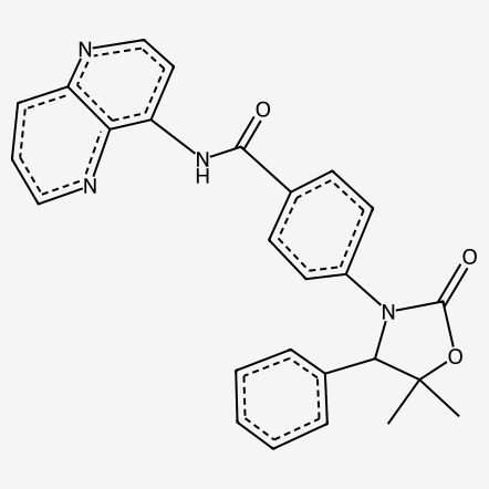 CC1(C)OC(=O)N(c2ccc(C(=O)Nc3ccnc4cccnc34)cc2)C1c1ccccc1